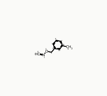 [CH]=NOCc1cccc(C)c1